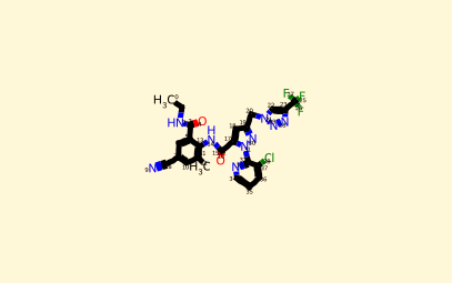 CCNC(=O)c1cc(C#N)cc(C)c1NC(=O)c1cc(Cn2cc(C(F)(F)F)nn2)nn1-c1ncccc1Cl